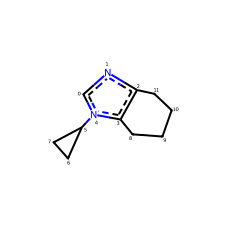 c1nc2c(n1C1CC1)CCCC2